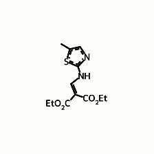 CCOC(=O)C(=CNc1ncc(C)s1)C(=O)OCC